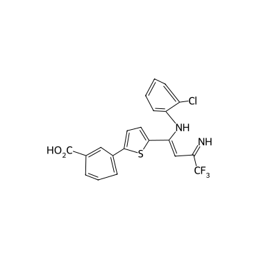 N=C(/C=C(\Nc1ccccc1Cl)c1ccc(-c2cccc(C(=O)O)c2)s1)C(F)(F)F